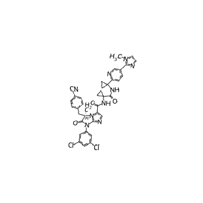 Cn1ccnc1-c1ccc(C2(NC(=O)C3(NC(=O)c4cnc5n4[C@](C)(Cc4ccc(C#N)cc4)C(=O)N5c4cc(Cl)cc(Cl)c4)CC3)CC2)nc1